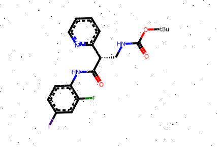 CC(C)(C)OC(=O)NC[C@H](C(=O)Nc1ccc(I)cc1F)c1ccccn1